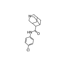 O=C(Nc1ccc(Cl)cc1)C1C2CC3CC1CN(C3)C2